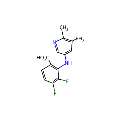 Bc1cc(Nc2c(C(=O)O)ccc(F)c2F)cnc1C